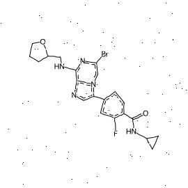 O=C(NC1CC1)c1ccc(-c2cnc3c(NCC4CCCO4)nc(Br)cn23)cc1F